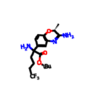 C[C@H]1Oc2ccc(C(N)(CCCC(F)(F)F)C(=O)OC(C)(C)C)cc2N=C1N